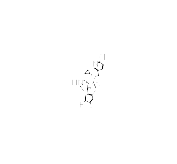 O=C([C@H]1CNCC[C@@]12OCc1cc(F)c(F)cc12)N(Cc1ccc(Cl)nc1)C1CC1